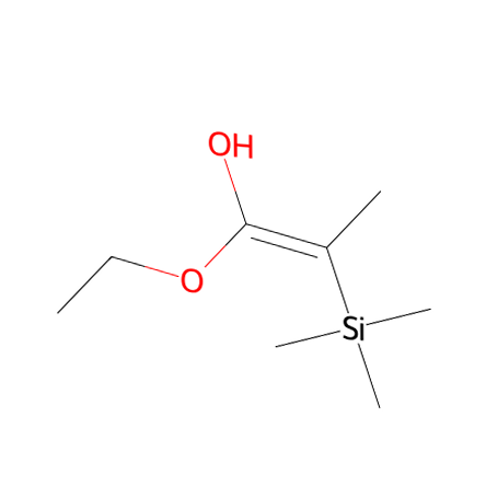 CCOC(O)=C(C)[Si](C)(C)C